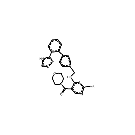 CCCCc1ncc(C(=O)N2CCOCC2)c(NCc2ccc(-c3ccccc3-c3nnn[nH]3)cc2)n1